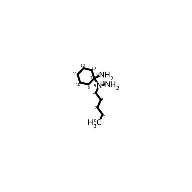 CCCCCN(N)C1(N)CCCCC1